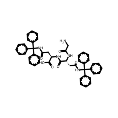 NCC(=O)N[C@H](CC(=O)NC(c1ccccc1)(c1ccccc1)c1ccccc1)C(=O)N[C@H](CC(=O)NC(c1ccccc1)(c1ccccc1)c1ccccc1)C(=O)O